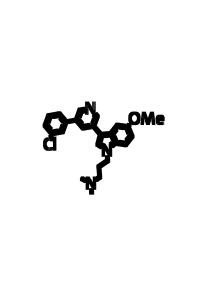 COc1ccc2c(c1)c(-c1cncc(-c3cccc(Cl)c3)c1)cn2CCCN(C)C